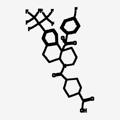 O=C(O)C1CCC(C(=O)N2CCCC3(S(=O)(=O)c4ccc(F)cc4)c4ccc(C(F)(C(F)(F)F)C(F)(F)F)cc4CCC23)CC1